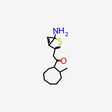 CC1CCCCCCC1C(=O)CC1=CSC2(N)C=C12